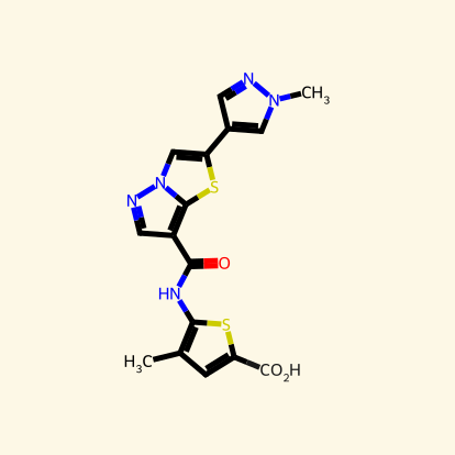 Cc1cc(C(=O)O)sc1NC(=O)c1cnn2cc(-c3cnn(C)c3)sc12